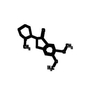 COc1cc2c(cc1OC)C(=O)C(C1CCCCN1C)C2